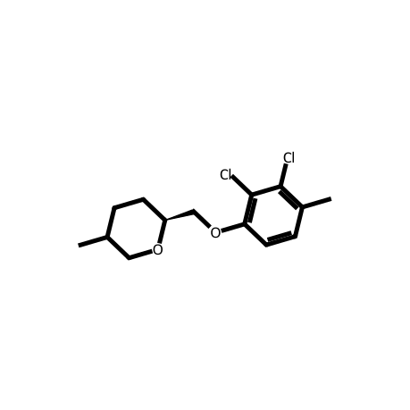 Cc1ccc(OC[C@@H]2CCC(C)CO2)c(Cl)c1Cl